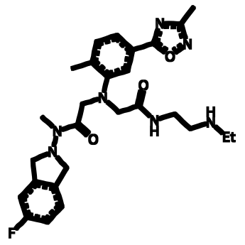 CCNCCNC(=O)CN(CC(=O)N(C)N1Cc2ccc(F)cc2C1)c1cc(-c2nc(C)no2)ccc1C